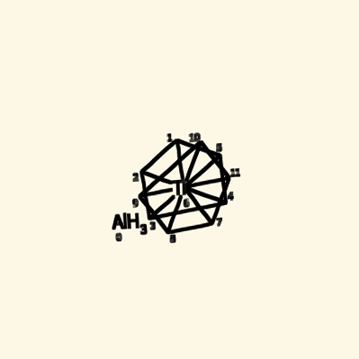 [AlH3].[CH]12[CH]3[CH]4[CH]5[CH]1[Ti]23451678[CH]2[CH]1[CH]6[CH]7[CH]28